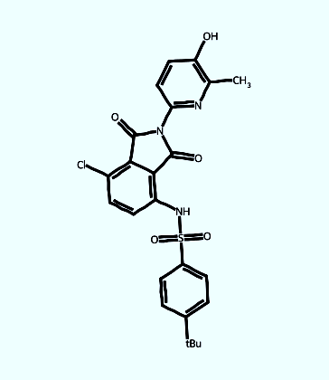 Cc1nc(N2C(=O)c3c(Cl)ccc(NS(=O)(=O)c4ccc(C(C)(C)C)cc4)c3C2=O)ccc1O